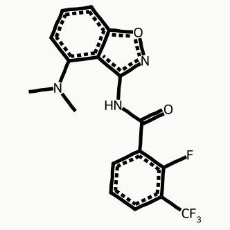 CN(C)c1cccc2onc(NC(=O)c3cccc(C(F)(F)F)c3F)c12